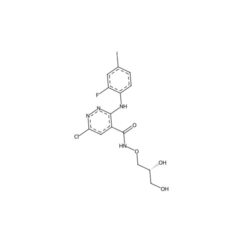 O=C(NOC[C@H](O)CO)c1cc(Cl)nnc1Nc1ccc(I)cc1F